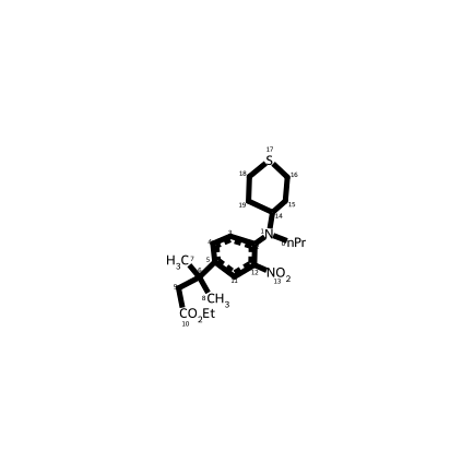 CCCN(c1ccc(C(C)(C)CC(=O)OCC)cc1[N+](=O)[O-])C1CCSCC1